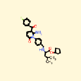 CC(C)CC(NCc1ccc(-n2c(N)c(C(=O)c3ccc(F)cc3)ccc2=O)cc1)C(=O)OC1CCCC1